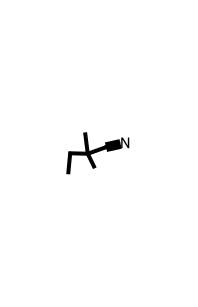 CCC(C)(C)C#N